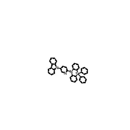 c1ccc([Si]2(c3ccccc3)c3ccccc3N(c3ccc(-n4c5ccccc5c5ccccc54)cn3)c3ccccc32)cc1